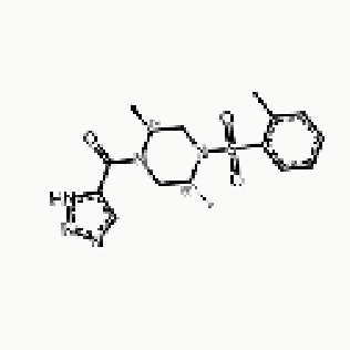 Cc1ccccc1S(=O)(=O)N1C[C@H](C)N(C(=O)c2cnn[nH]2)C[C@H]1C